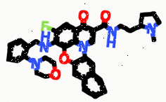 CN1CCCC1CCNC(=O)c1cn2c3c(c(NCc4ccccc4N4CCOCC4)c(F)cc3c1=O)Oc1cc3ccccc3cc1-2